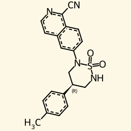 Cc1ccc([C@@H]2CNS(=O)(=O)N(c3ccc4c(C#N)nccc4c3)C2)cc1